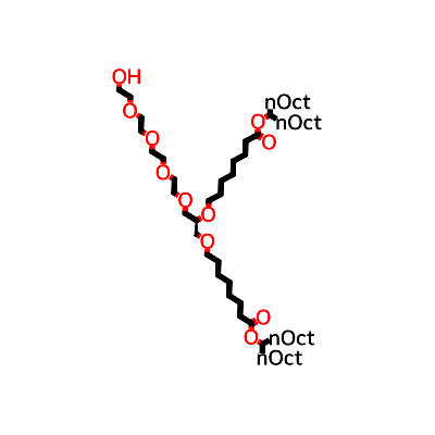 CCCCCCCCC(CCCCCCCC)OC(=O)CCCCCCCOC[C@@H](COCCOCCOCCOCCO)OCCCCCCCC(=O)OC(CCCCCCCC)CCCCCCCC